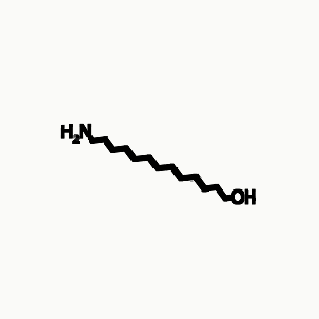 NCCCCCCCCCCCCCO